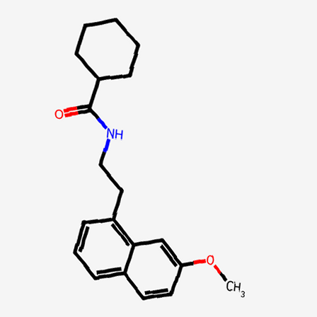 COc1ccc2cccc(CCNC(=O)C3CCCCC3)c2c1